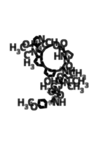 CCn1c(-c2cnccc2COC)c2c3cc(ccc31)-c1cc(O)cc(c1)C[C@H](NC(=O)C(C(C)C)N(C)C(=O)CN(C)S(=O)(=O)[C@H]1N[C@@H]1c1ccc(OC)cc1)C(=O)N1CCC[C@H](N1)C(=O)OCC(C)(C)C2